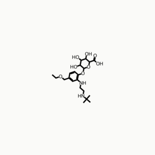 CCOCc1ccc(OC2OC(C(=O)O)C(O)C(O)C2O)c(NCCNC(C)(C)C)c1